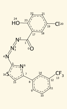 O=C(N=[N+]=Nc1nc(-c2cccc(C(F)(F)F)c2)cs1)c1cc(Cl)ccc1O